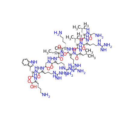 CC[C@H](C)[C@H](NC(=O)[C@H](CCCCN)NC(=O)[C@H](CCCNC(=N)N)NC(=O)[C@H](CC(C)C)NC(=O)[C@H](CC(C)C)NC(=O)[C@H](CCCNC(=N)N)NC(=O)[C@H](CC(C)C)NC(=O)CN)C(=O)N[C@@H](CCCNC(=N)N)C(=O)NCC(=O)N[C@@H](CCCNC(=N)N)C(=O)N[C@@H](Cc1c[nH]c2ccccc12)C(=O)N[C@@H](CCCCN)C(=O)O